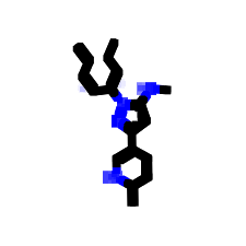 C=C/C=C\C(=C/CC)n1nc(C2=CNC(=C)C=C2)cc1NC